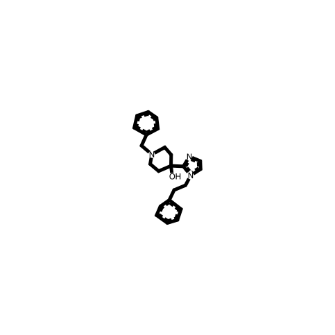 OC1(c2nccn2CCc2ccccc2)CCN(Cc2ccccc2)CC1